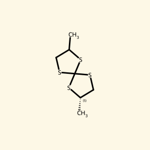 CC1CSC2(SC[C@H](C)S2)S1